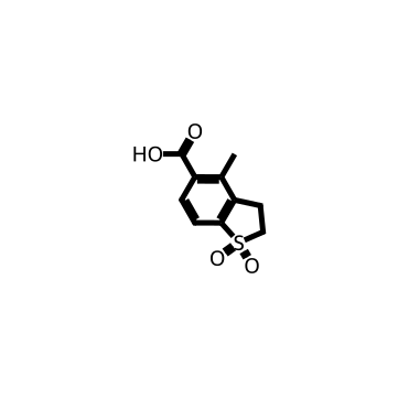 Cc1c(C(=O)O)ccc2c1CCS2(=O)=O